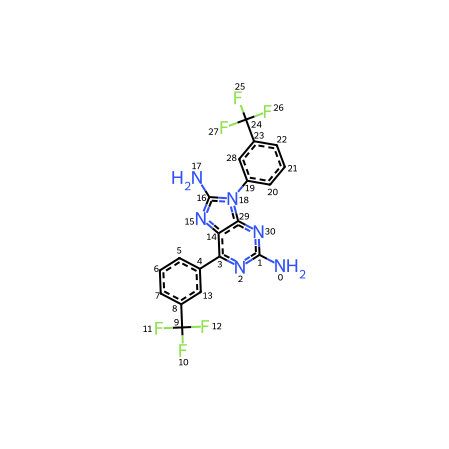 Nc1nc(-c2cccc(C(F)(F)F)c2)c2nc(N)n(-c3cccc(C(F)(F)F)c3)c2n1